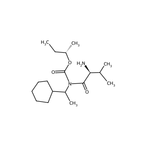 CC[C@H](C)OC(=O)N(C(=O)[C@@H](N)C(C)C)C(C)C1CCCCC1